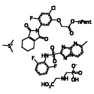 CCCCCOC(=O)COc1cc(N2C(=O)C3=C(CCCC3)C2=O)c(F)cc1Cl.C[S+](C)C.Cc1ccn2nc(S(=O)(=O)Nc3c(F)cccc3F)nc2n1.O=C(O)CNCP(=O)([O-])O